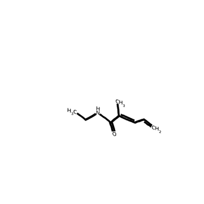 C=C/C=C(\C)C(=O)NCC